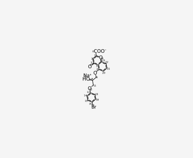 O=C([O-])c1cc(=O)c2c(OCC(O)COc3ccc(Br)cc3)cccc2o1.[Na+]